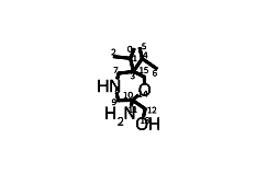 CC(C)C1(C(C)C)CNCC(N)(CO)OC1